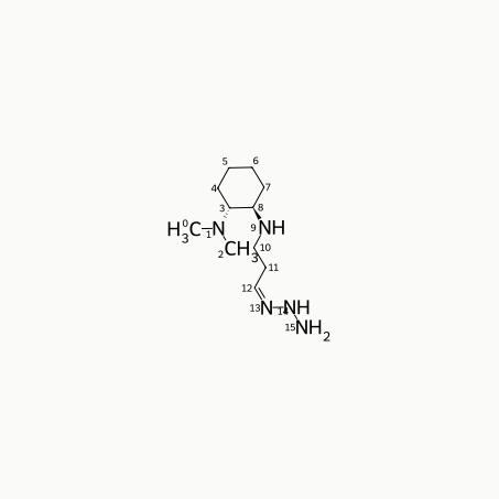 CN(C)[C@@H]1CCCC[C@H]1NCC/C=N\NN